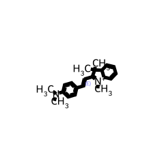 CN(C)c1ccc(/C=C/C2=[N+](C)C3C=CC=CC3C2(C)C)cc1